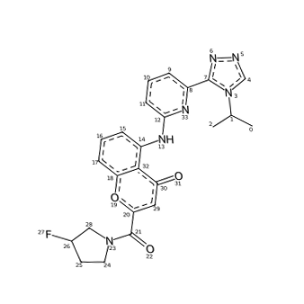 CC(C)n1cnnc1-c1cccc(Nc2cccc3oc(C(=O)N4CCC(F)C4)cc(=O)c23)n1